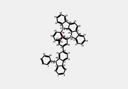 c1ccc(-n2c3ccccc3c3ccc(-c4cccc(-n5c6ccccc6c6ccc7c8ccccc8n(-c8ccccc8)c7c65)c4)cc32)cc1